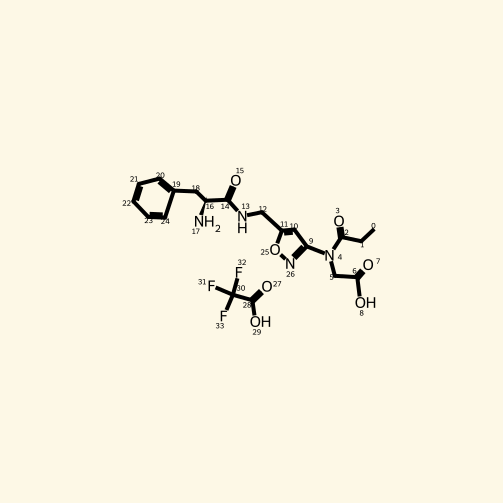 CCC(=O)N(CC(=O)O)c1cc(CNC(=O)[C@@H](N)Cc2ccccc2)on1.O=C(O)C(F)(F)F